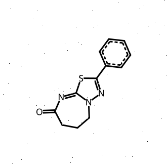 O=C1CCCN2N=C(c3ccccc3)SC2=N1